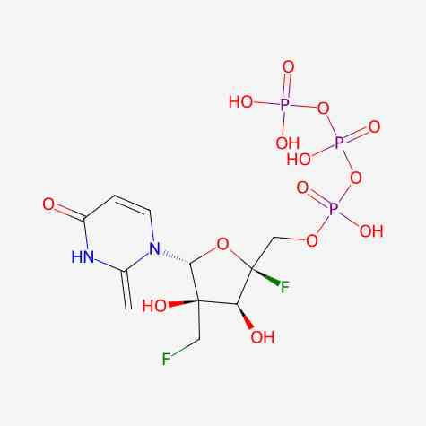 C=C1NC(=O)C=CN1[C@@H]1O[C@](F)(COP(=O)(O)OP(=O)(O)OP(=O)(O)O)[C@@H](O)[C@]1(O)CF